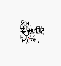 C[SiH](C)OC1CC(=O)CC2=CC[C@H]3[C@@H]4CCC(=O)[C@@]4(C)CC[C@@H]3[C@]21CC(C)(C)C